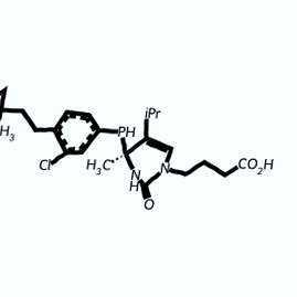 CC(C)C1=CN(CCCC(=O)O)C(=O)N[C@@]1(C)Pc1ccc(CCC2(C)CC2)c(Cl)c1